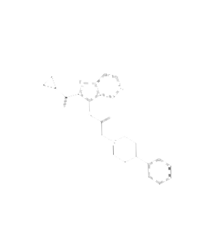 O=C(CN1CCC(c2ccccc2)CC1)Nc1c(C(=O)C2CC2)[nH]c2ccncc12